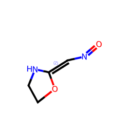 O=N/C=C1/NCCO1